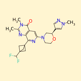 Cc1nc2c(C34CC(C(F)F)(C3)C4)nc(N3CCO[C@H](c4cnn(C)c4)C3)cc2c(=O)n1C